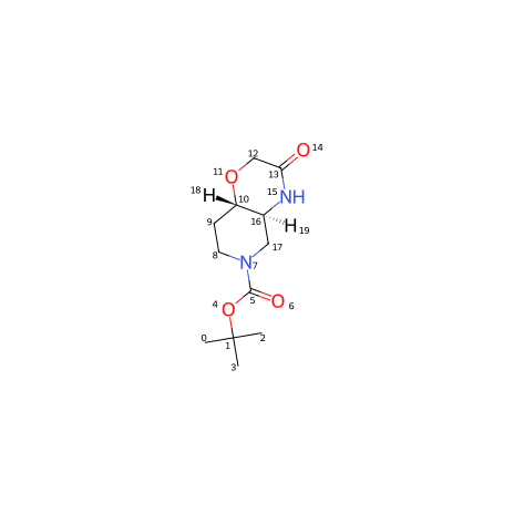 CC(C)(C)OC(=O)N1CC[C@@H]2OCC(=O)N[C@H]2C1